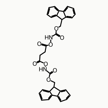 O=C(CCC(=O)ONC(=O)OCC1c2ccccc2-c2ccccc21)ONC(=O)OCC1c2ccccc2-c2ccccc21